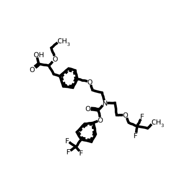 CCOC(Cc1ccc(OCCN(CCOCC(F)(F)CC)C(=O)Oc2ccc(C(F)(F)F)cc2)cc1)C(=O)O